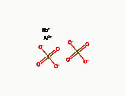 O=S(=O)([O-])[O-].O=S(=O)([O-])[O-].[Al+3].[Rb+]